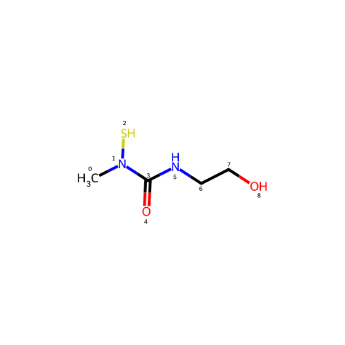 CN(S)C(=O)NCCO